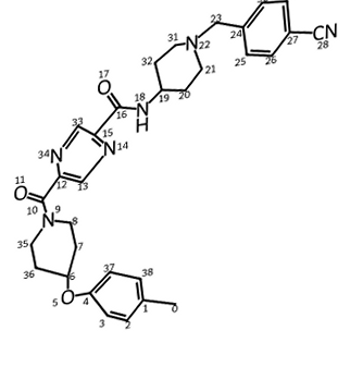 Cc1ccc(OC2CCN(C(=O)c3cnc(C(=O)NC4CCN(Cc5ccc(C#N)cc5)CC4)cn3)CC2)cc1